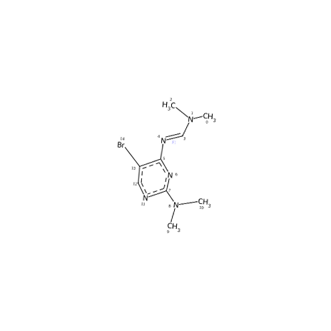 CN(C)/C=N/c1nc(N(C)C)ncc1Br